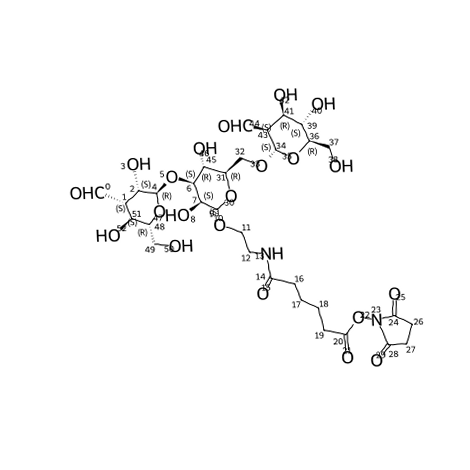 O=C[C@@H]1[C@H](O)[C@@H](O[C@@H]2[C@H](O)[C@@H](OCCNC(=O)CCCCC(=O)ON3C(=O)CCC3=O)O[C@H](CO[C@H]3O[C@H](CO)[C@@H](O)[C@H](O)[C@@H]3C=O)[C@H]2O)O[C@H](CO)[C@H]1O